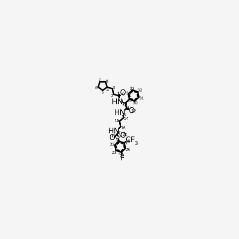 O=C(CCC1CCCC1)N[C@H](C(=O)NCCCNS(=O)(=O)c1ccc(F)cc1C(F)(F)F)c1ccccc1